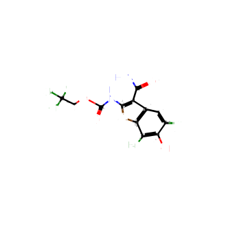 NC(=O)c1c(NC(=O)OCC(Cl)(Cl)Cl)sc2c(Br)c(O)c(Br)cc12